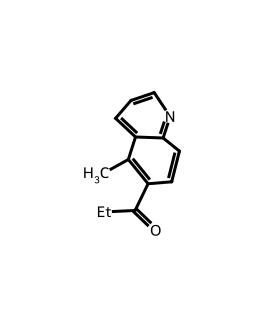 CCC(=O)c1ccc2ncccc2c1C